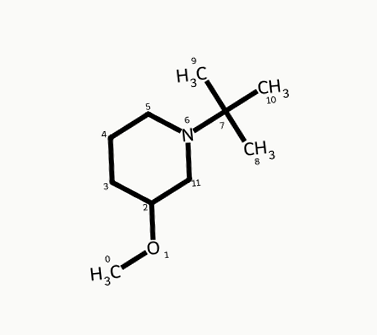 COC1CCCN(C(C)(C)C)C1